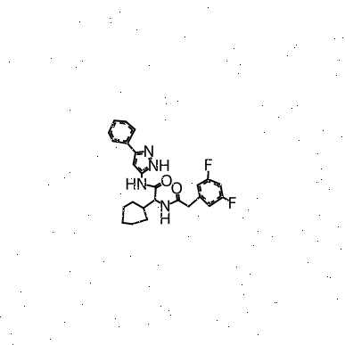 O=C(Cc1cc(F)cc(F)c1)NC(C(=O)Nc1cc(-c2ccccc2)n[nH]1)C1CCCCC1